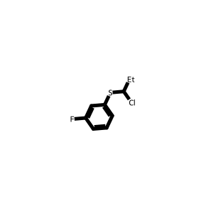 CCC(Cl)Sc1cccc(F)c1